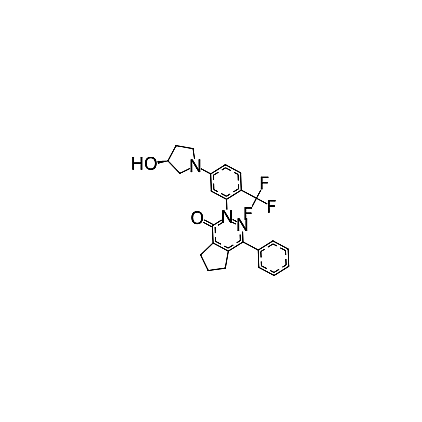 O=c1c2c(c(-c3ccccc3)nn1-c1cc(N3CC[C@H](O)C3)ccc1C(F)(F)F)CCC2